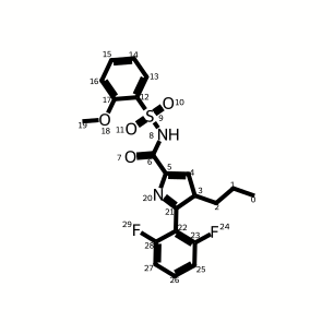 CCCC1C=C(C(=O)NS(=O)(=O)c2ccccc2OC)N=C1c1c(F)cccc1F